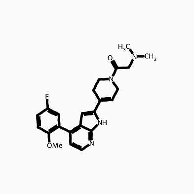 COc1ccc(F)cc1-c1ccnc2[nH]c(C3=CCN(C(=O)CN(C)C)CC3)cc12